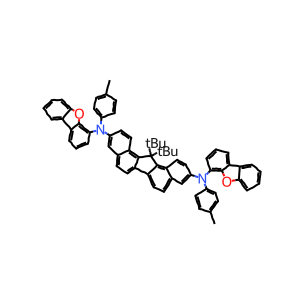 Cc1ccc(N(c2ccc3c4c(ccc3c2)-c2ccc3cc(N(c5ccc(C)cc5)c5cccc6c5oc5ccccc56)ccc3c2C4(C(C)(C)C)C(C)(C)C)c2cccc3c2oc2ccccc23)cc1